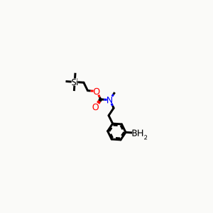 Bc1cccc(CCN(C)C(=O)OCC[Si](C)(C)C)c1